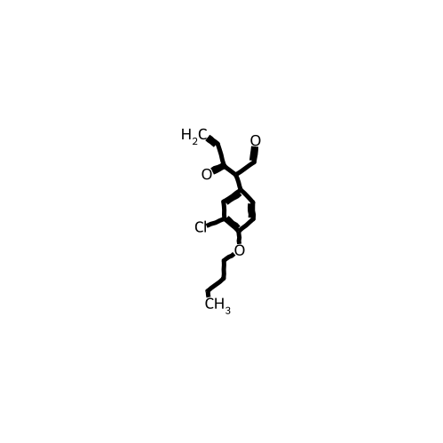 C=CC(=O)C(C=O)c1ccc(OCCCC)c(Cl)c1